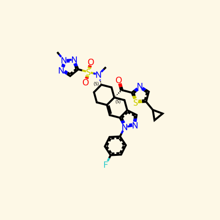 CN([C@H]1CCC2=Cc3c(cnn3-c3ccc(F)cc3)C[C@]2(C(=O)c2ncc(C3CC3)s2)C1)S(=O)(=O)c1cnn(C)n1